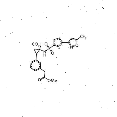 COC(=O)Cc1cccc(C2CC2(NS(=O)(=O)c2ccc(-c3cc(C(F)(F)F)on3)s2)C(=O)O)c1